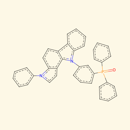 O=P(c1ccccc1)(c1ccccc1)c1cccc(-n2c3ccccc3c3ccc4c(ccn4-c4ccccc4)c32)c1